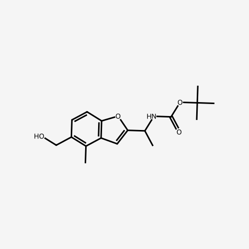 Cc1c(CO)ccc2oc(C(C)NC(=O)OC(C)(C)C)cc12